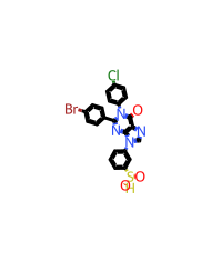 O=c1c2ncn(-c3cccc([SH](=O)=O)c3)c2nc(-c2ccc(Br)cc2)n1-c1ccc(Cl)cc1